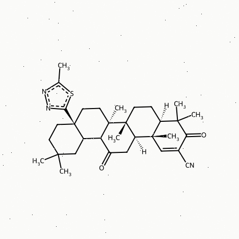 Cc1nnc([C@]23CCC(C)(C)CC2C2C(=O)C[C@@H]4[C@@]5(C)C=C(C#N)C(=O)C(C)(C)[C@@H]5CC[C@@]4(C)[C@]2(C)CC3)s1